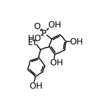 CCC(c1ccc(O)cc1)c1c(O)cc(O)cc1P(=O)(O)O